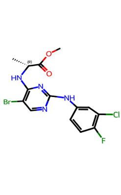 COC(=O)[C@@H](C)Nc1nc(Nc2ccc(F)c(Cl)c2)ncc1Br